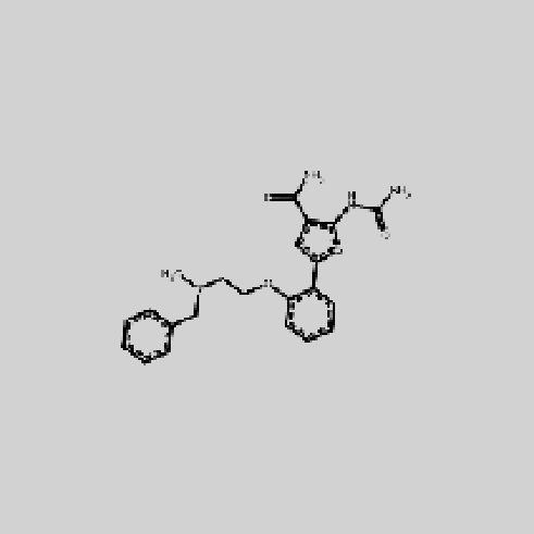 CN(CCOc1ccccc1-c1cc(C(N)=O)c(NC(N)=O)s1)Cc1ccccc1